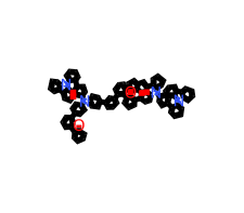 c1cc(-c2ccc(N(c3ccc(-c4ccccc4-n4c5ccccc5c5ccccc54)cc3)c3ccc(-c4cccc5c4oc4ccccc45)cc3)cc2)cc(-c2cccc3oc4c(-c5ccc(N(c6ccc(-c7ccccc7-n7c8ccccc8c8ccccc87)cc6)c6ccccc6-c6ccc7ccccc7c6)cc5)cccc4c23)c1